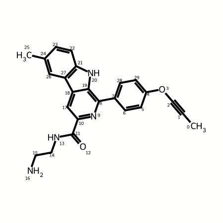 CC#COc1ccc(-c2nc(C(=O)NCCN)cc3c2[nH]c2ccc(C)cc23)cc1